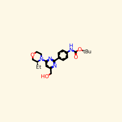 CC[C@H]1COCCN1c1cc(CO)nc(-c2ccc(NC(=O)OC(C)(C)C)cc2)n1